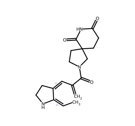 C=C(/C=C1/CCN/C1=C/C)C(=O)N1CCC2(CCC(=O)NC2=O)C1